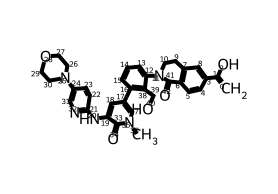 C=C(O)c1ccc2c(c1)CCN(c1cccc(-c3cc(Nc4ccc(N5CCOCC5)cn4)c(=O)n(C)c3)c1CO)C2=O